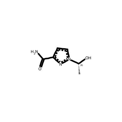 C[C@@H](O)n1ccc(C(N)=O)n1